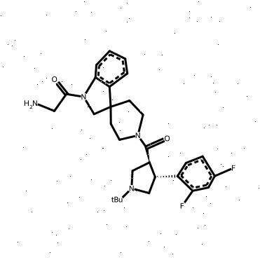 CC(C)(C)N1C[C@@H](C(=O)N2CCC3(CC2)CN(C(=O)CN)c2ccccc23)[C@H](c2ccc(F)cc2F)C1